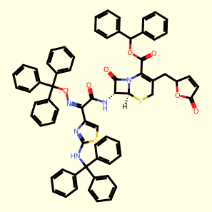 O=C1C=CC(CC2=C(C(=O)OC(c3ccccc3)c3ccccc3)N3C(=O)[C@@H](NC(=O)/C(=N\OC(c4ccccc4)(c4ccccc4)c4ccccc4)c4csc(NC(c5ccccc5)(c5ccccc5)c5ccccc5)n4)[C@@H]3SC2)O1